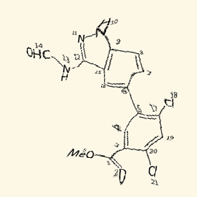 COC(=O)c1cc(-c2ccc3[nH]nc(NC=O)c3c2)c(Cl)cc1Cl